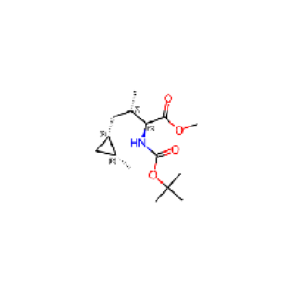 COC(=O)[C@@H](NC(=O)OC(C)(C)C)[C@@H](C)C[C@H]1C[C@H]1C